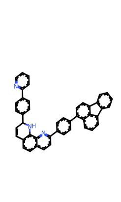 C1=CC(c2ccc(-c3ccccn3)cc2)Nc2c1ccc1ccc(-c3ccc(-c4ccc5c6c(cccc46)-c4ccccc4-5)cc3)nc21